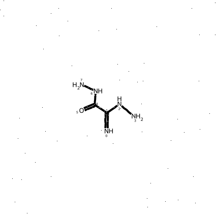 N=C(NN)C(=O)NN